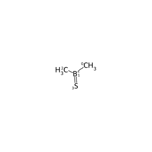 C[B-](C)=S